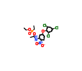 CCOP(=O)(CC)OC(C)Nc1cc(Oc2c(Cl)cc(Cl)cc2Cl)ccc1[N+](=O)[O-]